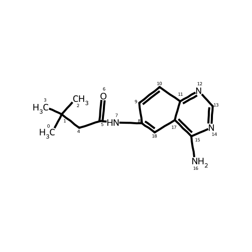 CC(C)(C)CC(=O)Nc1ccc2ncnc(N)c2c1